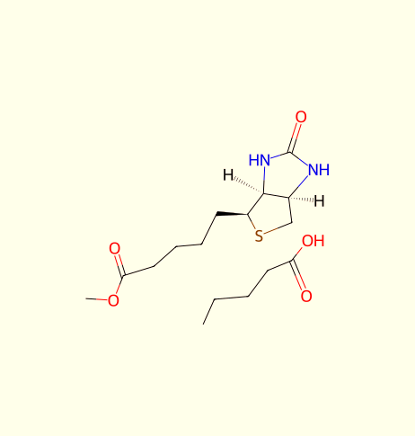 CCCCC(=O)O.COC(=O)CCCC[C@@H]1SC[C@@H]2NC(=O)N[C@@H]21